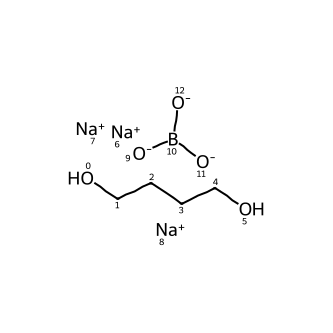 OCCCCO.[Na+].[Na+].[Na+].[O-]B([O-])[O-]